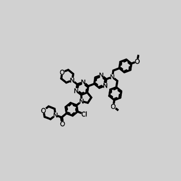 COc1ccc(CN(Cc2ccc(OC)cc2)c2ncc(-c3nc(N4CCOCC4)nc4c3CCN4c3ccc(C(=O)N4CCOCC4)cc3Cl)cn2)cc1